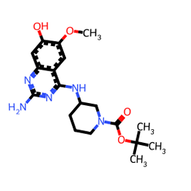 COc1cc2c(NC3CCCN(C(=O)OC(C)(C)C)C3)nc(N)nc2cc1O